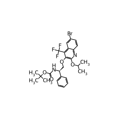 CC(C)Oc1nc2ccc(Br)cc2c(C(F)(F)F)c1OC[C@H](NC(=O)OC(C)(C)C)c1ccccc1